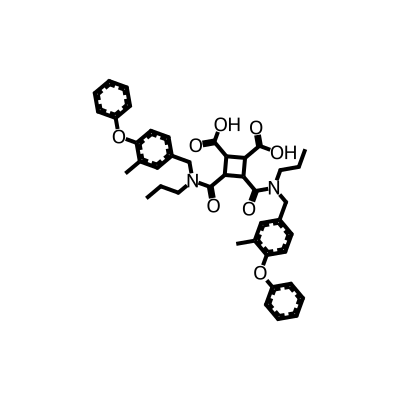 CCCN(Cc1ccc(Oc2ccccc2)c(C)c1)C(=O)C1C(C(=O)O)C(C(=O)O)C1C(=O)N(CCC)Cc1ccc(Oc2ccccc2)c(C)c1